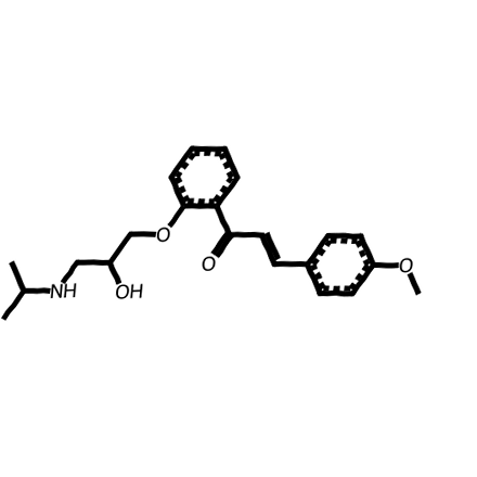 COc1ccc(C=CC(=O)c2ccccc2OCC(O)CNC(C)C)cc1